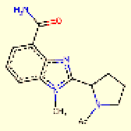 CC(=O)N1CCCC1c1nc2c(C(N)=O)cccc2n1C